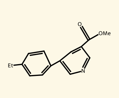 CCc1ccc(-c2cncc(C(=O)OC)c2)cc1